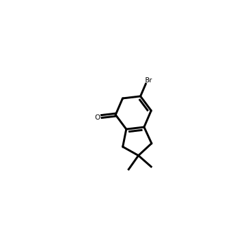 CC1(C)CC2=C(C1)C(=O)CC(Br)=C2